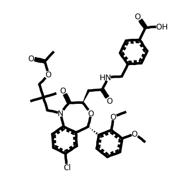 COc1cccc([C@H]2O[C@H](CC(=O)NCc3ccc(C(=O)O)cc3)C(=O)N(CC(C)(C)COC(C)=O)c3ccc(Cl)cc32)c1OC